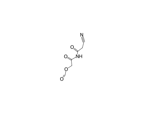 N#CCC(=O)NC(=O)COC=O